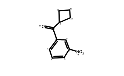 O=C(c1cccc([N+](=O)[O-])c1)C1CCC1